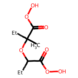 CCC(OC(C)(CC)C(=O)OO)C(=O)OO